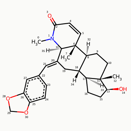 CN1C(=O)C=C[C@]2(C)[C@H]3CC[C@]4(C)[C@@H](O)CC[C@H]4[C@@H]3CC(=Cc3ccc4c(c3)OCO4)[C@@H]12